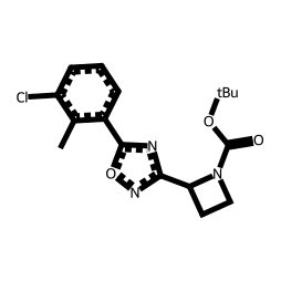 Cc1c(Cl)cccc1-c1nc(C2CCN2C(=O)OC(C)(C)C)no1